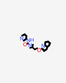 O=C(Nc1cccnc1)N1CC(CCOc2ccc3ccccc3n2)C1